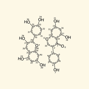 O=c1c(-c2ccc(O)cc2)coc2cc(O)cc(O)c12.Oc1cc(O)c2cc(O)c(-c3ccc(O)c(O)c3)[o+]c2c1